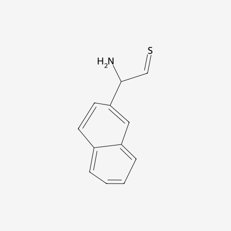 NC(C=S)c1ccc2ccccc2c1